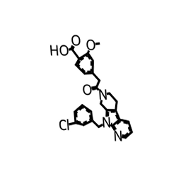 COc1cc(CC(=O)N2CCc3c(n(Cc4cccc(Cl)c4)c4ncccc34)C2)ccc1C(=O)O